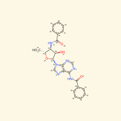 O=C(Nc1ncnc2c1ncn2[C@H]1O[C@H](C(=O)O)[C@@H](NC(=O)c2ccccc2)[C@H]1O)c1ccccc1